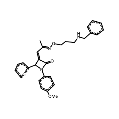 COc1ccc(N2C(=O)C(=CC(C)=NOCCCNCc3ccccc3)C2c2ccccc2)cc1